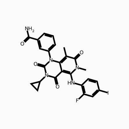 Cc1c(=O)n(C)c(Nc2ccc(I)cc2F)c2c(=O)n(C3CC3)c(=O)n(-c3cccc(C(N)=O)c3)c12